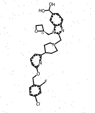 OC(O)c1ccc2nc(CN3CCC(c4cccc(OCc5ccc(Cl)cc5F)n4)CC3)n(C[C@@H]3CCO3)c2c1